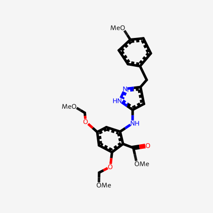 COCOc1cc(Nc2cc(Cc3ccc(OC)cc3)n[nH]2)c(C(=O)OC)c(OCOC)c1